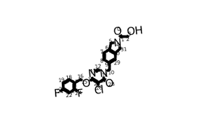 O=C(CO)N1Cc2ccc(Cn3cnc(OCc4ccc(F)cc4F)c(Cl)c3=O)cc2C1